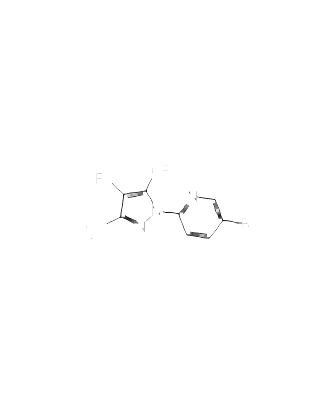 CCc1c(C(=O)O)nn(-c2ccc(Br)cn2)c1C(F)(F)F